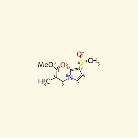 COC(=O)C(C)Cn1ccc([S+](C)[O-])c1